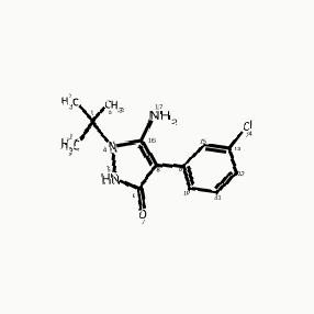 CC(C)(C)n1[nH]c(=O)c(-c2cccc(Cl)c2)c1N